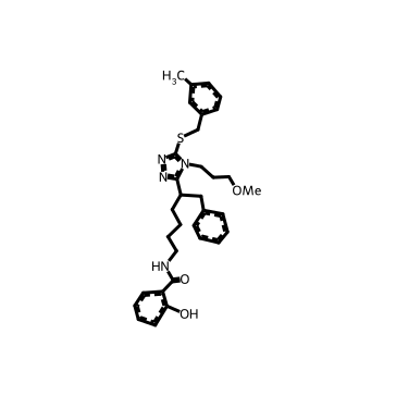 COCCCn1c(SCc2cccc(C)c2)nnc1C(CCCCNC(=O)c1ccccc1O)Cc1ccccc1